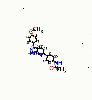 COc1ccc(-c2n[nH]c3nc(-c4ccc(NC(C)=O)cc4)ccc23)cc1